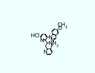 COc1ccc2c(cnn2-c2cccnc2C(N)Cc2ncccc2F)c1.Cl